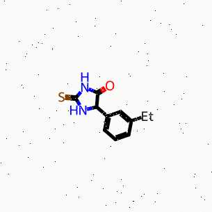 CCc1cccc(C2NC(=S)NC2=O)c1